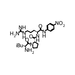 CC[C@H](C)[C@H](N)C(=O)N1CCC[C@H]1C(=O)N[C@@H](CCCNC(=N)N)C(=O)Nc1ccc([N+](=O)[O-])cc1